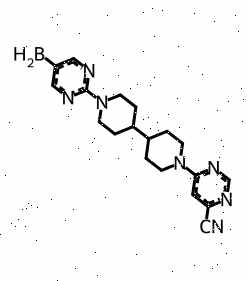 Bc1cnc(N2CCC(C3CCN(c4cc(C#N)ncn4)CC3)CC2)nc1